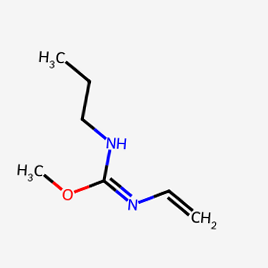 C=C/N=C(\NCCC)OC